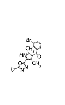 Cc1[nH]c(-c2nnc(C3CC3)o2)c(C)c1C(=O)c1cccc(Br)c1